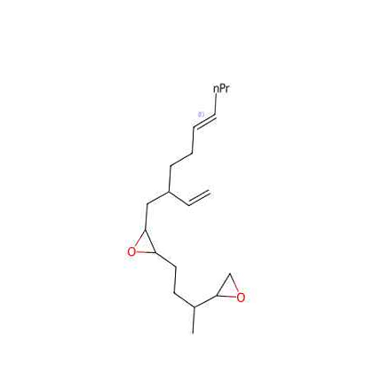 C=CC(CC/C=C/CCC)CC1OC1CCC(C)C1CO1